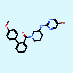 COc1ccc(-c2ccccc2C(=O)N2CCCC(Nc3ncc(Br)cn3)C2)cc1